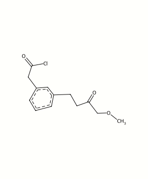 COCC(=O)CCc1cccc(CC(=O)Cl)c1